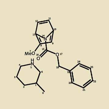 CC1CCCNC1.COc1cc2ccc1n2C(=O)OCc1ccccc1